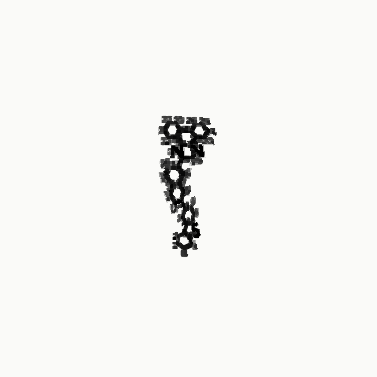 c1ccc2c(c1)sc1ccc(-c3ccc4ccc(-c5cnc6c7ccccc7c7ccccc7c6n5)cc4c3)cc12